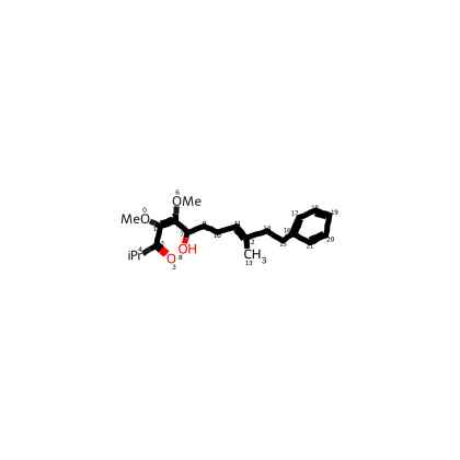 CO/C(C(=O)C(C)C)=C(\OC)C(O)CC/C=C(\C)CCc1ccccc1